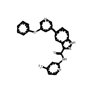 O=C(Nc1cc(C(F)(F)F)ccn1)c1n[nH]c2ccc(-c3cncc(Oc4ccccc4)c3)cc12